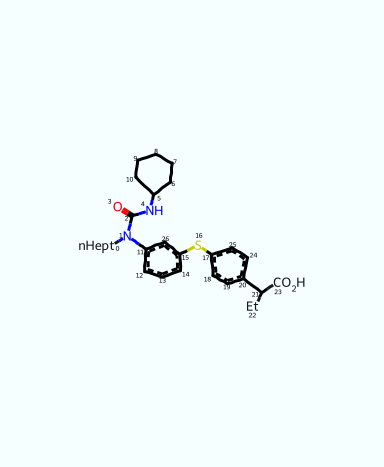 CCCCCCCN(C(=O)NC1CCCCC1)c1cccc(Sc2ccc(C(CC)C(=O)O)cc2)c1